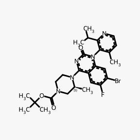 Cc1ccnc(C(C)C)c1-n1c(=O)nc(N2CCN(C(=O)OC(C)(C)C)C[C@@H]2C)c2cc(F)c(Br)cc21